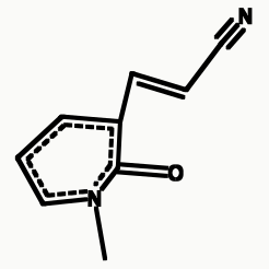 Cn1cccc(/C=C/C#N)c1=O